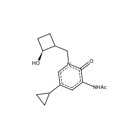 CC(=O)Nc1cc(C2CC2)cn(CC2CC[C@@H]2O)c1=O